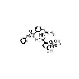 C[C@H](Cc1cccc(CC(=O)NCc2ccccn2)c1)NC[C@@H](O)c1ccc(O)c(NS(C)(=O)=O)c1